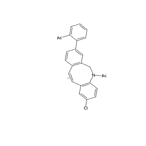 CC(=O)c1ccccc1-c1ccc2c(c1)CN(C(C)=O)c1ccc(Cl)cc1/C=C\2